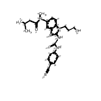 CC(C)CC(=O)N(C)c1ccc2c(c1)nc(NC(=O)Nc1ccc(C#N)cc1)n2CCCO